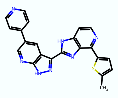 Cc1ccc(-c2nccc3[nH]c(-c4n[nH]c5ncc(-c6ccncc6)cc45)nc23)s1